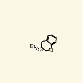 CCO[C@H]1COc2ccccc2C1